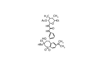 CCCC[C@]1(CC)CS(=O)(=O)c2ccc(N(C)C)cc2[C@@H](c2cccc(NC(=O)N[C@@H]3O[C@H](CC)[C@@H](C)[C@H](C)[C@H]3OC(C)=O)c2)[C@H]1O